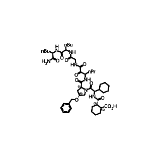 CCCCC(NC(=O)C(CCCC)NC(=O)CNC(=O)C(=O)C(CCC)NC(=O)[C@@H]1C[C@@H](OCc2ccccc2)CN1C(=O)C(NC(=O)[C@H]1CCCC[C@@H]1C(=O)O)C1CCCCC1)C(N)=O